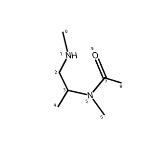 CNCC(C)N(C)C(C)=O